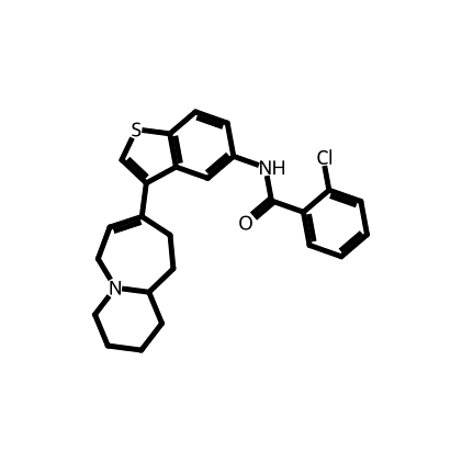 O=C(Nc1ccc2scc(C3=CCN4CCCCC4CC3)c2c1)c1ccccc1Cl